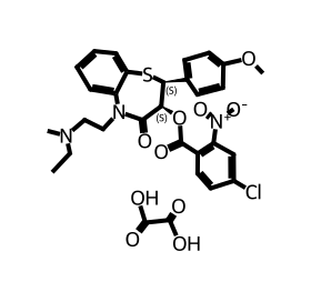 CCN(C)CCN1C(=O)[C@H](OC(=O)c2ccc(Cl)cc2[N+](=O)[O-])[C@H](c2ccc(OC)cc2)Sc2ccccc21.O=C(O)C(=O)O